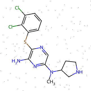 CN(c1cnc(Sc2cccc(Cl)c2Cl)c(N)n1)C1CCNC1